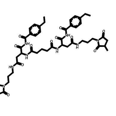 CCc1ccc(C(=O)NC(=O)C(CC(=O)NCCCN2C(=O)CC(C)C2=O)NC(=O)CCCC(=O)NC(CC(=O)NCCCN2C(=O)CC(C)C2=O)C(=O)NC(=O)c2ccc(CC)cc2)cc1